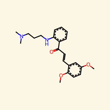 COc1ccc(OC)c(C=CC(=O)c2ccccc2NCCCN(C)C)c1